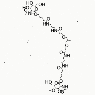 CC(=O)NC1C(O)C(O)C(CO)O[C@H]1OCCCCC(=O)NCCCNC(=O)CCOCC(C)COCCC(=O)NCCCNC(=O)CCCCO[C@@H]1OC(CO)C(O)C(O)C1NC(C)=O